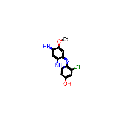 CCOC1=CC(=Nc2ccc(O)cc2Cl)C(N)=CC1=N